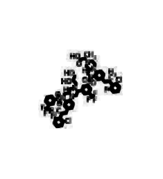 C/C(=C\c1ccc2c(c1)N(S(=O)(=O)c1cc(C3CN4c5ccc(/C=C(\C)c6c(F)cccc6Cl)cc5N(S(=O)(=O)c5cccc(C(F)(F)F)c5)C[C@@H]4CN3C[C@H](O)CO)cc(C(F)(F)F)c1)C[C@@H]1CN([C@@H](C)C(=O)O)CCN21)c1c(F)cccc1Cl